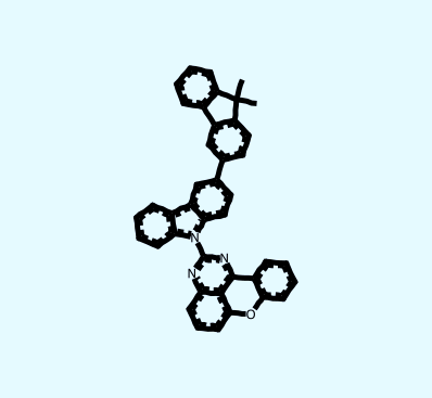 CC1(C)c2ccccc2-c2cc(-c3ccc4c(c3)c3ccccc3n4-c3nc4c5c(cccc5n3)Oc3ccccc3-4)ccc21